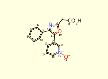 O=C(O)Cc1nc(-c2ccccc2)c(-c2ccc[n+]([O-])c2)o1